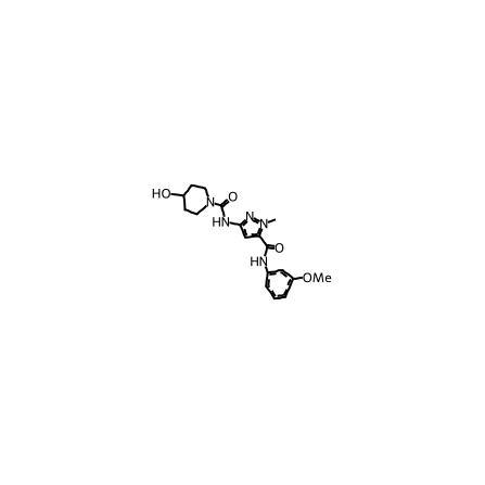 COc1cccc(NC(=O)c2cc(NC(=O)N3CCC(O)CC3)nn2C)c1